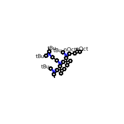 CCCCCCCCC1(CCCCCCCC)c2cc(C)ccc2-c2ccc(-c3ccc4c(c3)c3cc(C5(c6ccc7c(c6)c6cc(C8(c9ccc%10c(c9)c9cc(C)ccc9n%10-c9ccc(C(C)(C)C)cc9)c9ccccc9-c9ccccc98)ccc6n7-c6ccc(-c7ccc(-n8c9ccc(C(C)(C)C)cc9c9cc(C(C)(C)C)ccc98)cc7)cc6)c6ccccc6-c6ccccc65)ccc3n4-c3ccc(C(C)(C)C)cc3)cc21